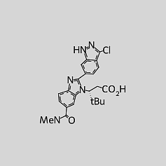 CNC(=O)c1ccc2nc(-c3ccc4c(Cl)n[nH]c4c3)n([C@H](CC(=O)O)C(C)(C)C)c2c1